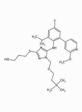 COc1cc(-c2cc(F)cc(C(C)C)c2Nc2nc(SCCCO)nn2COCC[Si](C)(C)C)ccn1